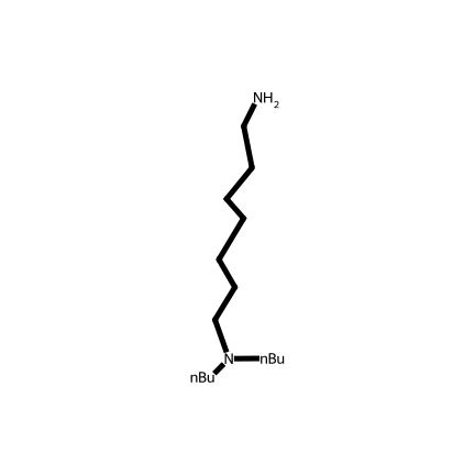 CCCCN(CCCC)CCCCCCCN